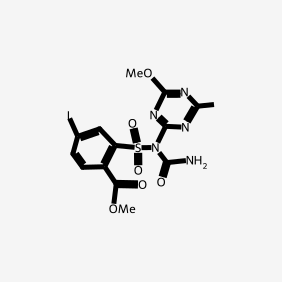 COC(=O)c1ccc(I)cc1S(=O)(=O)N(C(N)=O)c1nc(C)nc(OC)n1